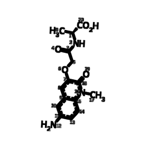 C[C@H](NC(=O)COc1cc2cc(N)ccc2n(C)c1=O)C(=O)O